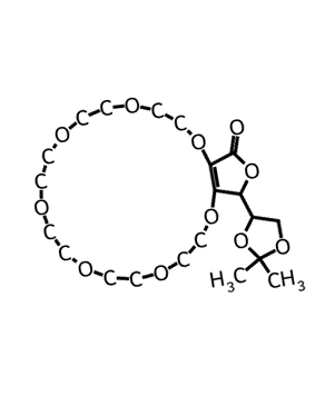 CC1(C)OCC(C2OC(=O)C3=C2OCCOCCOCCOCCOCCOCCO3)O1